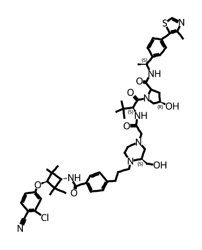 Cc1ncsc1-c1ccc([C@H](C)NC(=O)C2C[C@@H](O)CN2C(=O)[C@@H](NC(=O)CN2CCN(CCCc3ccc(C(=O)N[C@H]4C(C)(C)[C@H](Oc5ccc(C#N)c(Cl)c5)C4(C)C)cc3)[C@H](CO)C2)C(C)(C)C)cc1